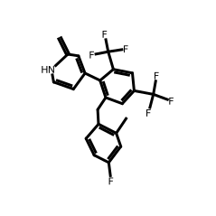 C=C1C=C(c2c(Cc3ccc(F)cc3C)cc(C(F)(F)F)cc2C(F)(F)F)C=CN1